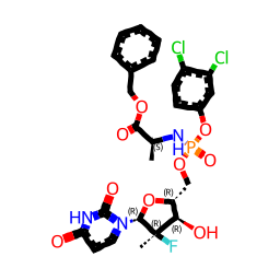 C[C@H](NP(=O)(OC[C@H]1O[C@@H](n2ccc(=O)[nH]c2=O)[C@](C)(F)[C@@H]1O)Oc1ccc(Cl)c(Cl)c1)C(=O)OCc1ccccc1